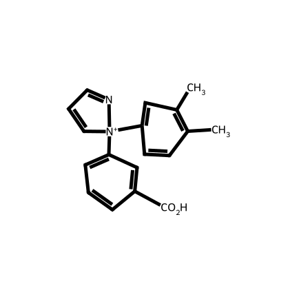 Cc1ccc([N+]2(c3cccc(C(=O)O)c3)C=CC=N2)cc1C